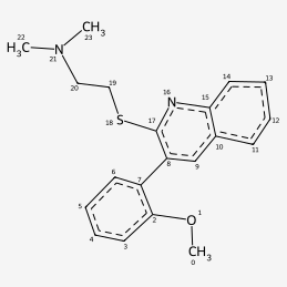 COc1ccccc1-c1cc2ccccc2nc1SCCN(C)C